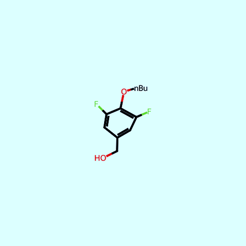 CCCCOc1c(F)cc(CO)cc1F